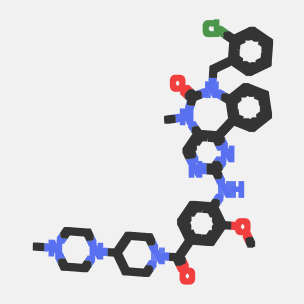 COc1cc(C(=O)N2CCC(N3CCN(C)CC3)CC2)ccc1Nc1ncc2c(n1)-c1ccccc1N(Cc1ccccc1Cl)C(=O)N2C